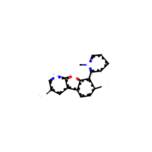 Cc1ccc2c(oc3ncc(C#N)cc32)c1-c1cccc[n+]1C